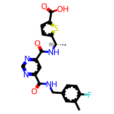 Cc1cc(CNC(=O)c2cc(C(=O)N[C@@H](C)c3ccc(C(=O)O)s3)ncn2)ccc1F